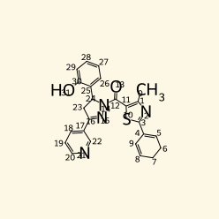 Cc1nc(C2=CCCC=C2)sc1C(=O)N1N=C(c2cccnc2)CC1c1ccccc1O